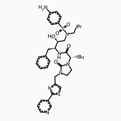 CC(C)CN(C[C@H](O)[C@H](Cc1ccccc1)NC(=O)[C@@H](N1CCN(Cc2csc(-c3cccnc3)n2)C1=O)C(C)(C)C)S(=O)(=O)c1ccc(N)cc1